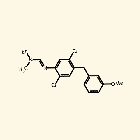 CCN(C)C=Nc1cc(Cl)c(Cc2cccc(OC)c2)cc1Cl